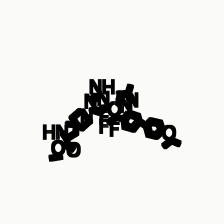 CCOC(=O)C1CC2(CCN(c3cc(O[C@H](c4ccc(-c5ccc(OC(C)C)cc5)cc4-n4ccc(C)n4)C(F)(F)F)nc(N)n3)CC2)CN1